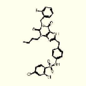 CCCCn1c(=O)n(Cc2ccccc2F)c(=O)c2[nH]c(Cc3ccc(NS(=O)(=O)c4ccc(Cl)cc4Cl)cc3)nc21